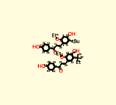 CCOc1cc(O)c(C(C)(C)C)cc1/C=C/C(=O)c1ccc(O)cc1.CCOc1cc(O)c(C(C)(C)CC)cc1/C=C/C(=O)c1ccc(O)cc1